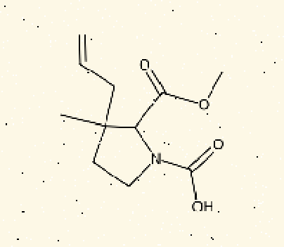 C=CCC1(C)CCN(C(=O)O)C1C(=O)OC